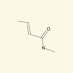 CC=CC(=O)[N]C